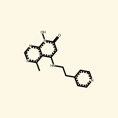 Cc1ncnc2c1c(NCCc1ccncc1)cc(=O)n2O